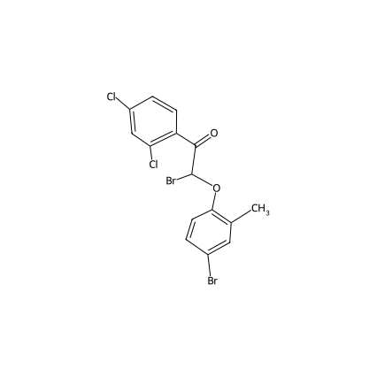 Cc1cc(Br)ccc1OC(Br)C(=O)c1ccc(Cl)cc1Cl